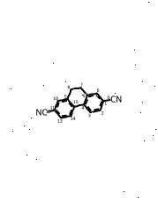 N#Cc1ccc2c(c1)CCc1cc(C#N)ccc1-2